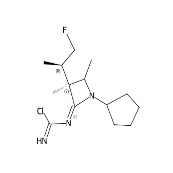 CC1N(C2CCCC2)/C(=N/C(=N)Cl)[C@@]1(C)[C@@H](C)CF